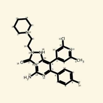 Cc1cc(-c2c(-c3ccc(F)cc3)nc(N)[n+]3c(=O)n(CCN4CCCCC4)[nH]c23)cc(Cl)n1